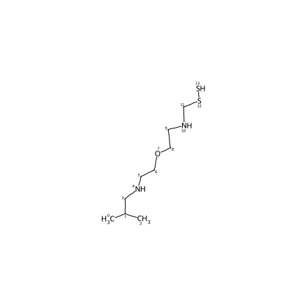 CC(C)CNCCOCCNCSS